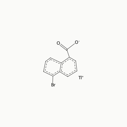 O=C([O-])c1cccc2c(Br)cccc12.[Tl+]